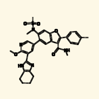 CNC(=O)c1c(-c2ccc(C)cc2)oc2cc(N(C)S(C)(=O)=O)c(-c3cnc(OC)c(-c4nc5c([nH]4)CCCC5)c3)cc12